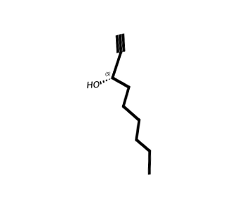 C#C[C@@H](O)CCCCCC